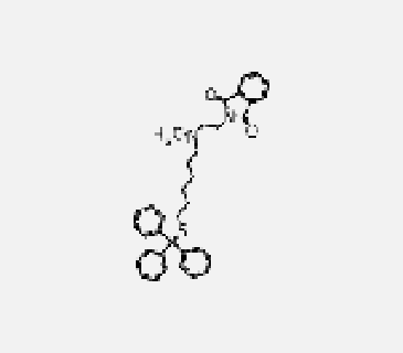 CN(CCCCCCSC(c1ccccc1)(c1ccccc1)c1ccccc1)CCN1C(=O)c2ccccc2C1=O